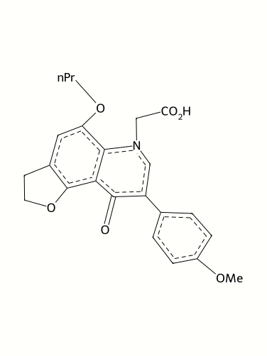 CCCOc1cc2c(c3c(=O)c(-c4ccc(OC)cc4)cn(CC(=O)O)c13)OCC2